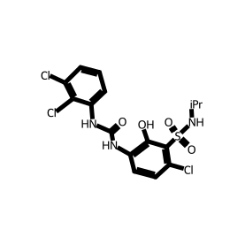 CC(C)NS(=O)(=O)c1c(Cl)ccc(NC(=O)Nc2cccc(Cl)c2Cl)c1O